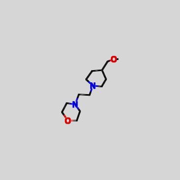 [O]CC1CCN(CCN2CCOCC2)CC1